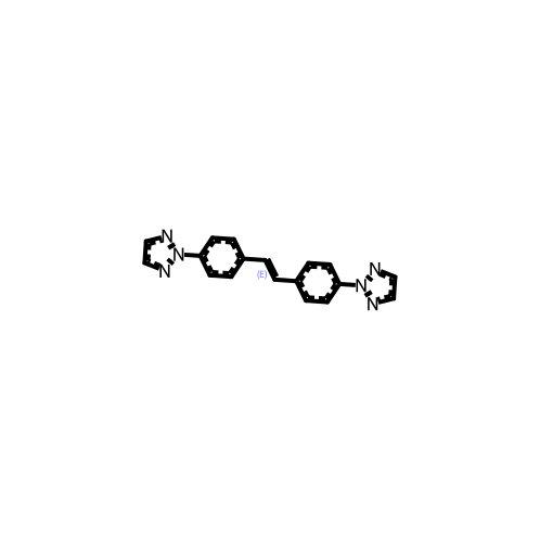 C(=C\c1ccc(-n2nccn2)cc1)/c1ccc(-n2nccn2)cc1